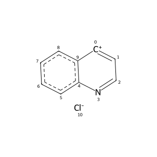 [C+]1=CC=Nc2ccccc21.[Cl-]